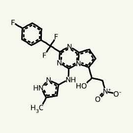 Cc1cc(Nc2nc(C(F)(F)c3ccc(F)cc3)nc3ccc(C(O)C[N+](=O)[O-])n23)n[nH]1